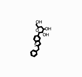 OCC1CC(O)[C@@H](O)C(c2ccc3sc(Cc4ccccc4)cc3c2)O1